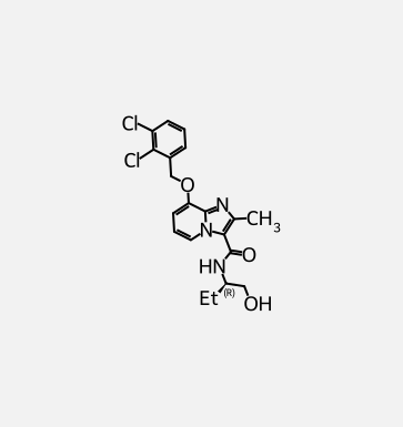 CC[C@H](CO)NC(=O)c1c(C)nc2c(OCc3cccc(Cl)c3Cl)cccn12